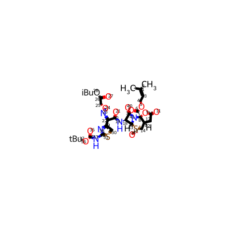 CC(C)=CCOC(=O)[C@]12OC(=O)C[C@H]1C[S+]([O-])[C@@H]1[C@H](NC(=O)/C(=N\OCC(=O)OCC(C)C)c3csc(NC(=O)OC(C)(C)C)n3)C(=O)N12